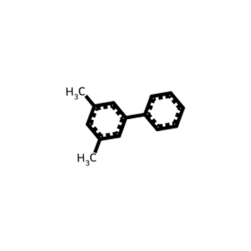 Cc1cc(C)cc(-c2ccccc2)c1